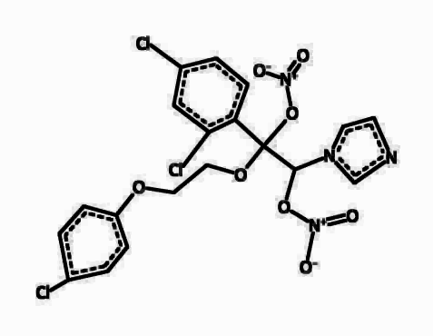 O=[N+]([O-])OC(n1ccnc1)C(OCCOc1ccc(Cl)cc1)(O[N+](=O)[O-])c1ccc(Cl)cc1Cl